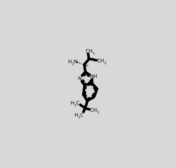 CC(C)[C@@H](N)c1nc2cc(C(C)(C)C)ccc2[nH]1